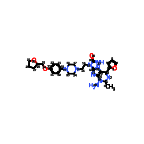 CC1N=C(c2ccco2)c2c(nc3n(CCN4CCN(c5ccc(OCC6CCCO6)cc5)CC4)c(=O)[nH]n23)N1N